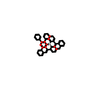 c1ccc(-c2cccc(N(c3ccccc3-c3cccc4ccccc34)c3ccccc3-c3cc4ccccc4c4ccccc34)c2-c2ccccc2)cc1